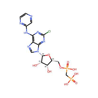 O=P(O)(O)CP(=O)(O)OC[C@H]1O[C@@H](n2cnc3c(Nc4cnccn4)nc(Cl)nc32)[C@@H](O)[C@H]1O